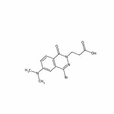 CN(C)c1ccc2c(=O)n(CCC(=O)O)nc(Br)c2c1